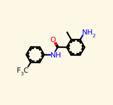 Cc1c(N)cccc1C(=O)Nc1cccc(C(F)(F)F)c1